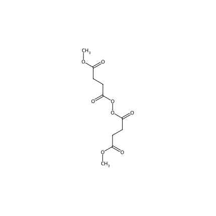 COC(=O)CCC(=O)OOC(=O)CCC(=O)OC